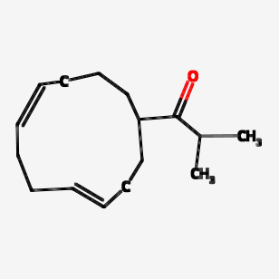 CC(C)C(=O)C1CC/C=C/CC/C=C\CCC1